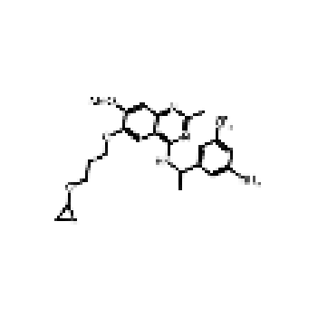 COc1cc2nc(C)nc(NC(C)c3cc(N)cc(C(F)(F)F)c3)c2cc1OCCCOC1CC1